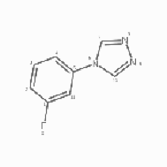 Fc1cccc(-n2cnnc2)c1